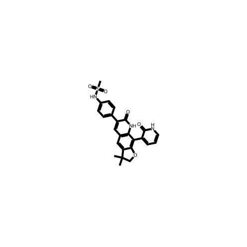 CC1(C)COc2c1cc1cc(-c3ccc(NS(C)(=O)=O)cc3)c(=O)[nH]c1c2-c1ccc[nH]c1=O